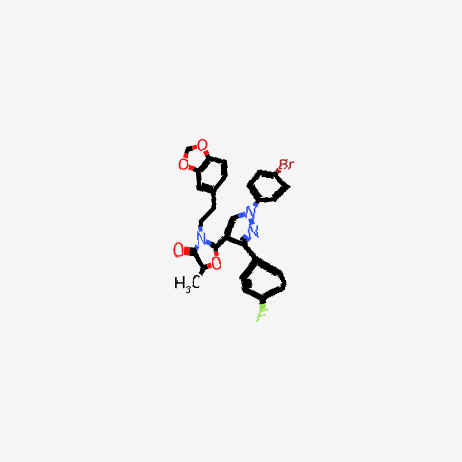 CC1OC(c2cn(-c3ccc(Br)cc3)nc2-c2ccc(F)cc2)N(CCc2ccc3c(c2)OCO3)C1=O